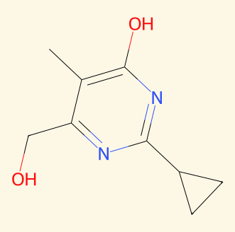 Cc1c(O)nc(C2CC2)nc1CO